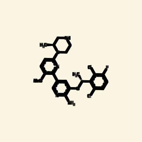 COc1ccc(N2CCNC[C@@H]2C)nc1-c1cnc(N)c(O[C@H](C)c2c(Cl)ccc(F)c2Cl)c1